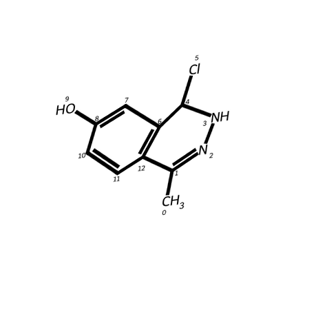 CC1=NNC(Cl)c2cc(O)ccc21